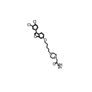 CC(C)NC(=O)CN1CCN(CCCCCOc2ccc3c(-c4ccc(Cl)c(Cl)c4)coc3c2)CC1